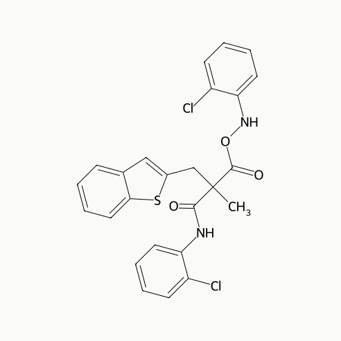 CC(Cc1cc2ccccc2s1)(C(=O)Nc1ccccc1Cl)C(=O)ONc1ccccc1Cl